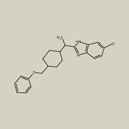 CC(c1nc2ccc(Cl)cc2[nH]1)C1CCC(COc2ccccc2)CC1